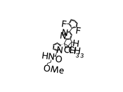 COCCNC(=O)c1cccc([C@]23CC[C@@H](c4cc(-c5c(F)cccc5F)nnc42)C3(C)C)n1